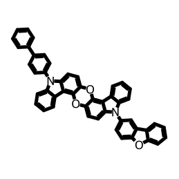 c1ccc(-c2ccc(-n3c4ccccc4c4c5c(ccc43)Oc3c(ccc4c3c3ccccc3n4-c3ccc4oc6ccccc6c4c3)O5)cc2)cc1